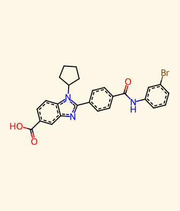 O=C(O)c1ccc2c(c1)nc(-c1ccc(C(=O)Nc3cccc(Br)c3)cc1)n2C1CCCC1